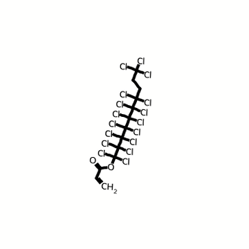 C=CC(=O)OC(Cl)(Cl)C(Cl)(Cl)C(Cl)(Cl)C(Cl)(Cl)C(Cl)(Cl)C(Cl)(Cl)C(Cl)(Cl)CCC(Cl)(Cl)Cl